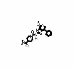 COc1ncc(-c2ccccc2)c2sc(NC(=O)N3CCC(C(=O)N(C)C)CC3)nc12